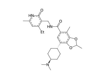 CCc1cc(C)[nH]c(=O)c1CNC(=O)c1cc([C@H]2CC[C@H](N(C)C)CC2)c2c(c1C)OC(C)O2